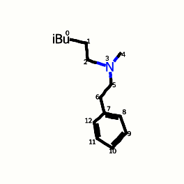 CCC(C)CCN(C)CCc1ccccc1